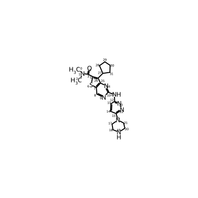 CN(C)C(=O)c1sc2cnc(Nc3ccc(N4CCNCC4)nn3)nc2c1C1CCCC1